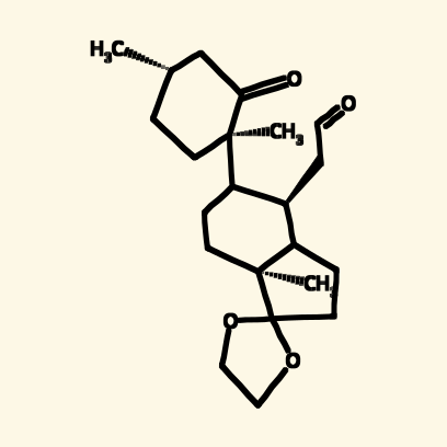 C[C@H]1CC[C@](C)(C2CC[C@@]3(C)C(CCC34OCCO4)[C@@H]2CC=O)C(=O)C1